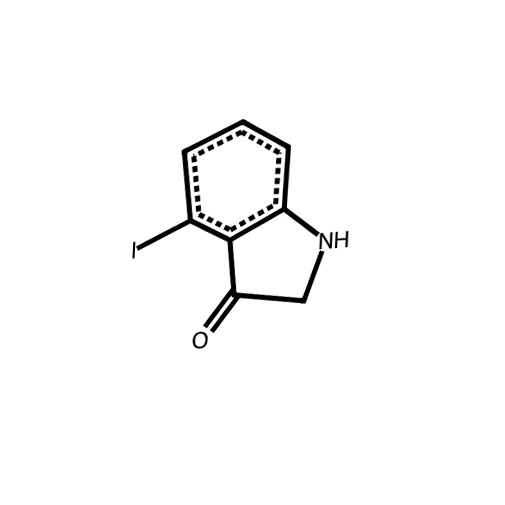 O=C1CNc2cccc(I)c21